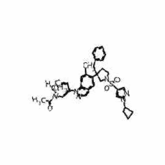 C=C/C(=C\N(C)C(C)=O)n1ncc2cc(C3(Cc4ccccc4)CCN(S(=O)(=O)c4cnn(C5CCC5)c4)C3)c(C)cc21